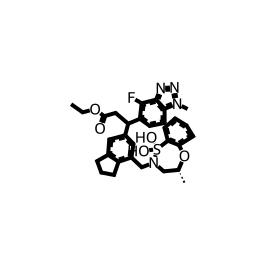 CCOC(=O)CC(c1cc2c(c(CN3C[C@@H](C)Oc4ccccc4S3(O)O)c1)CCC2)c1ccc2c(nnn2C)c1F